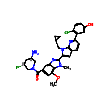 COc1cc(C(=O)N2C[C@H](N)C[C@@H](F)C2)cc2nc(-c3cc4ccc(-c5cc(O)ccc5Cl)nc4n3CC3CC3)n(C)c12